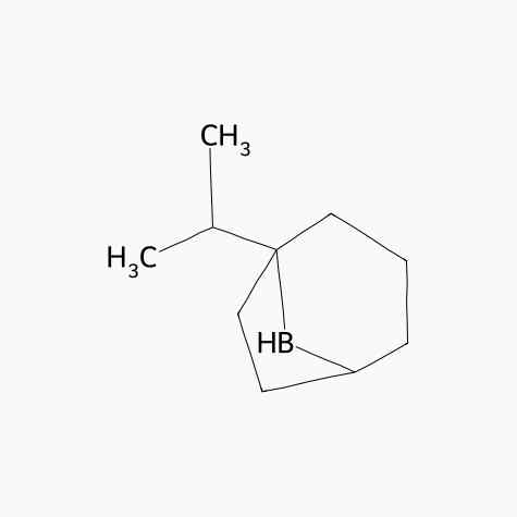 CC(C)C12BC(CCC1)CC2